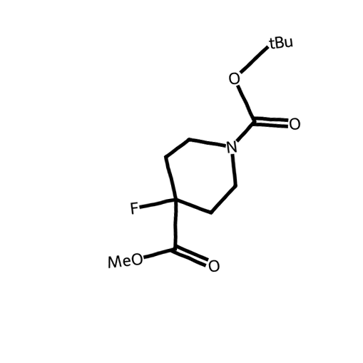 COC(=O)C1(F)CCN(C(=O)OC(C)(C)C)CC1